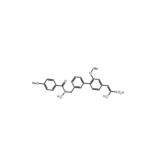 CCCCOc1cc(/C=C(\C)C(=O)O)ccc1-c1cccc(CN(C)C(=O)c2ccc(OC)cc2)c1